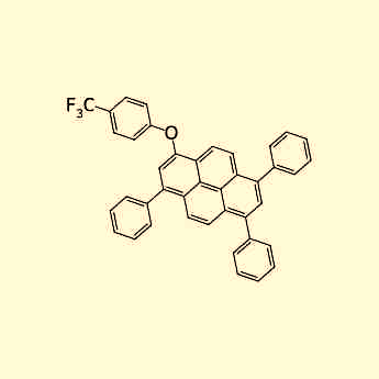 FC(F)(F)c1ccc(Oc2cc(-c3ccccc3)c3ccc4c(-c5ccccc5)cc(-c5ccccc5)c5ccc2c3c54)cc1